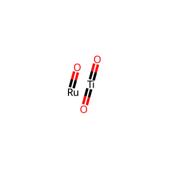 [O]=[Ru].[O]=[Ti]=[O]